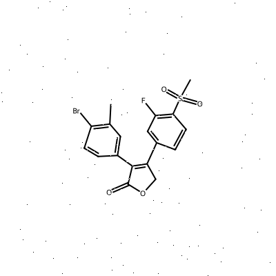 Cc1cc(C2=C(c3ccc(S(C)(=O)=O)c(F)c3)COC2=O)ccc1Br